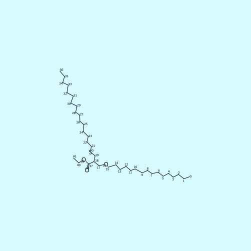 CCCCCCCCCCCCCCCCOCC(CSCCCCCCCCCCCCCCCC)C(=O)OCC